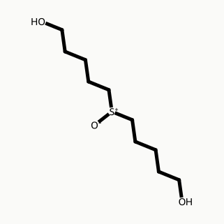 [O-][S+](CCCCCO)CCCCCO